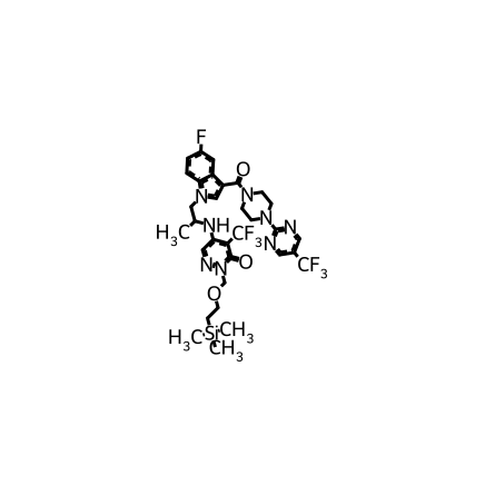 CC(Cn1cc(C(=O)N2CCN(c3ncc(C(F)(F)F)cn3)CC2)c2cc(F)ccc21)Nc1cnn(COCC[Si](C)(C)C)c(=O)c1C(F)(F)F